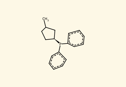 CC1CC[C@H](P(c2ccccc2)c2ccccc2)C1